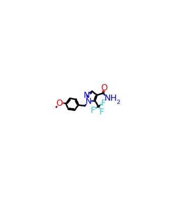 COc1ccc(Cn2ncc(C(N)=O)c2C(F)(F)F)cc1